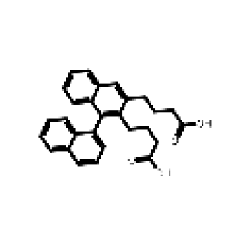 O=C(O)CCCc1cc2ccccc2c(-c2cccc3ccccc23)c1CCCC(=O)O